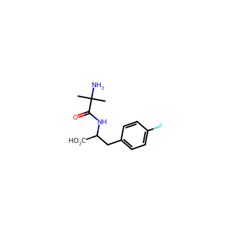 CC(C)(N)C(=O)NC(Cc1ccc(F)cc1)C(=O)O